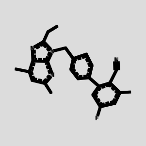 CCc1nc2c(C)cc(C)nc2n1Cc1ccc(-c2cc(F)cc(C)c2C#N)cc1